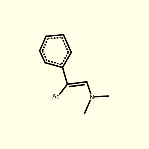 CC(=O)C(=CN(C)C)c1ccccc1